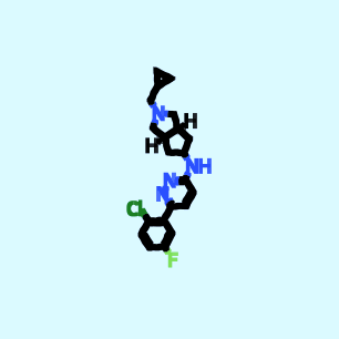 Fc1ccc(Cl)c(-c2ccc(NC3C[C@@H]4CN(CC5CC5)C[C@@H]4C3)nn2)c1